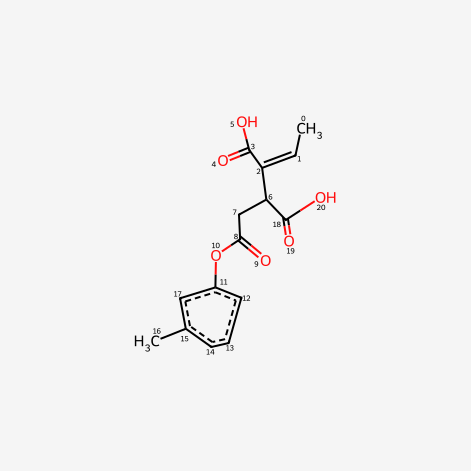 CC=C(C(=O)O)C(CC(=O)Oc1cccc(C)c1)C(=O)O